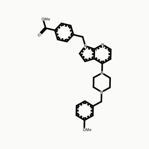 COC(=O)c1ccc(Cn2ccc3c(N4CCN(Cc5cccc(OC)c5)CC4)ccnc32)cc1